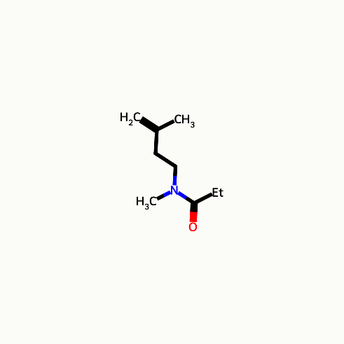 C=C(C)CCN(C)C(=O)CC